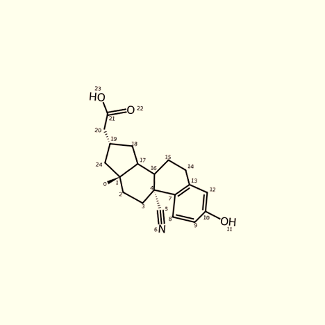 C[C@]12CC[C@]3(C#N)c4ccc(O)cc4CCC3C1C[C@@H](CC(=O)O)C2